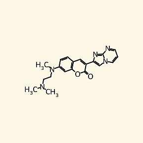 CN(C)CCN(C)c1ccc2cc(-c3cn4cccnc4n3)c(=O)oc2c1